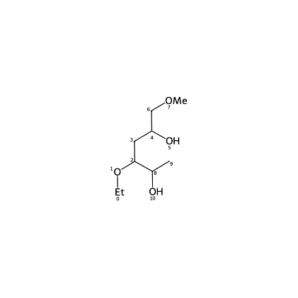 CCOC(CC(O)COC)C(C)O